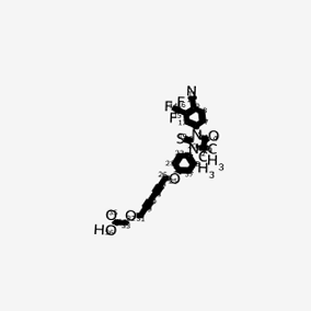 CC1(C)C(=O)N(c2ccc(C#N)c(C(F)(F)F)c2)C(=S)N1c1ccc(OCC#CC#CCOCC(=O)O)cc1